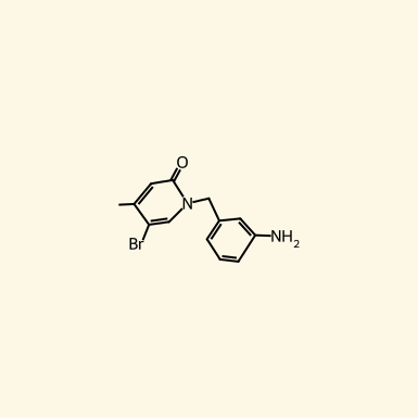 Cc1cc(=O)n(Cc2cccc(N)c2)cc1Br